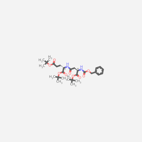 CC(C)(C)OC(=O)CC[C@H](NC(=O)C[C@@H](NC(=O)OCc1ccccc1)C(=O)OC(C)(C)C)C(=O)OC(C)(C)C